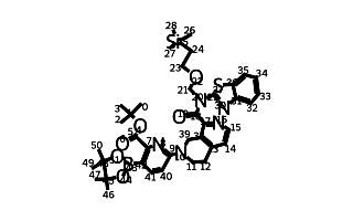 CC(C)(C)OC(=O)c1nc(N2CCc3ccnc(C(=O)N(COCC[Si](C)(C)C)c4nc5ccccc5s4)c3C2)ccc1B1OC(C)(C)C(C)(C)O1